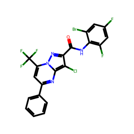 O=C(Nc1c(F)cc(F)cc1Br)c1nn2c(C(F)(F)F)cc(-c3ccccc3)nc2c1Cl